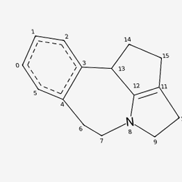 c1ccc2c(c1)CCN1CCC3=C1C2CC3